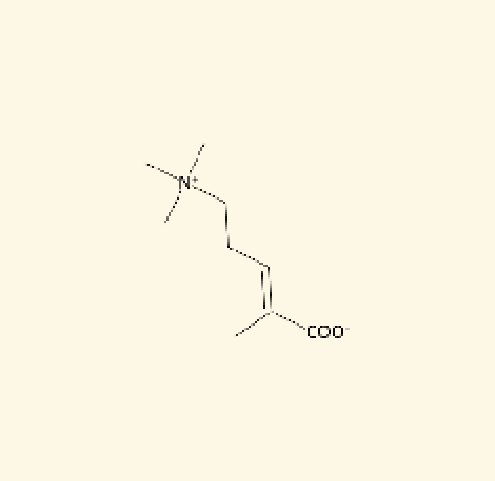 C/C(=C\CC[N+](C)(C)C)C(=O)[O-]